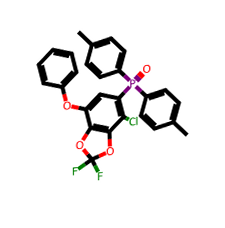 Cc1ccc(P(=O)(c2ccc(C)cc2)c2cc(Oc3ccccc3)c3c(c2Cl)OC(F)(F)O3)cc1